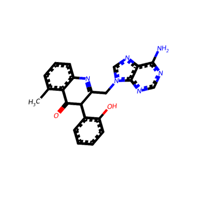 Cc1cccc2c1C(=O)C(c1ccccc1O)C(Cn1cnc3c(N)ncnc31)=N2